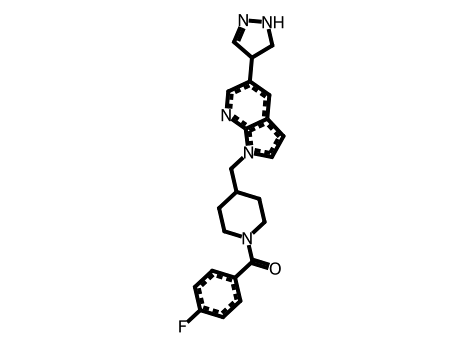 O=C(c1ccc(F)cc1)N1CCC(Cn2ccc3cc(C4C=NNC4)cnc32)CC1